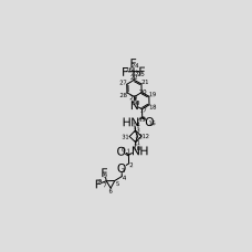 O=C(COCC1CC1(F)F)NC12CC(NC(=O)c3ccc4cc(C(F)(F)F)ccc4n3)(C1)C2